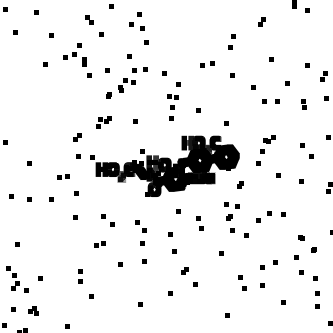 CCCCc1ccc(C(=O)NCCC(=O)O)c(=O)n1Cc1ccc(-c2ccccc2C(=O)O)cc1